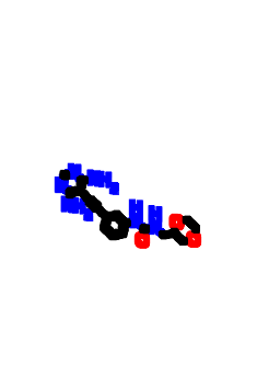 Nc1ncnc(N)c1C#Cc1cccc(NC(=O)NCC2COCCO2)c1